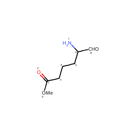 COC(=O)CCCC(N)C=O